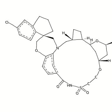 C[C@H]1C[C@H]2C[C@H](O1)[C@@H]1CC[C@H]1CN1C[C@@]3(CCCc4cc(Cl)ccc43)COc3ccc(cc31)C(=O)NS(=O)(=O)CCO2